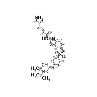 CC(C)N(CCNc1ccc(S(=O)(=O)Oc2ccc3nc(NC(=O)CCCCCN)sc3c2)cc1)C(C)C